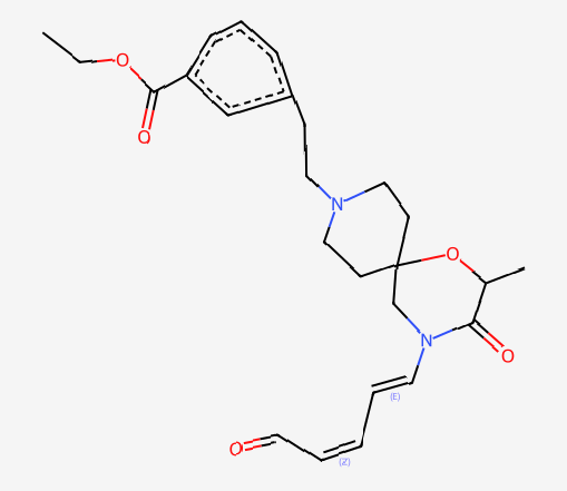 CCOC(=O)c1cccc(CCN2CCC3(CC2)CN(/C=C/C=C\C=O)C(=O)C(C)O3)c1